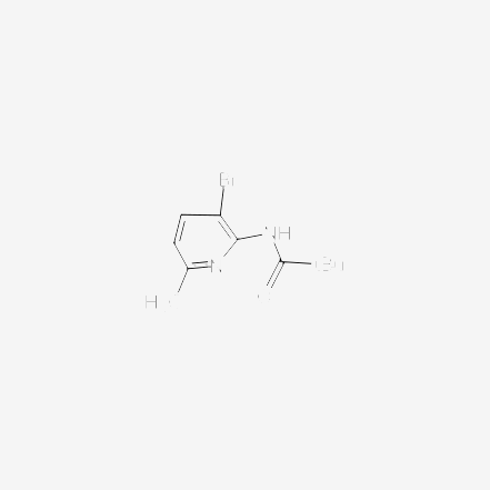 Cc1ccc(Br)c(NC(=O)C(C)(C)C)n1